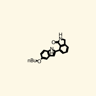 CCCCOc1ccc2[nH]c(-c3cccc4c3C(=O)NC4)cc2c1